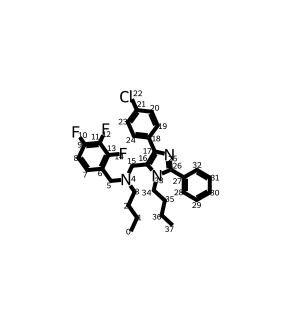 CCCCN(Cc1ccc(F)c(F)c1F)Cc1c(-c2ccc(Cl)cc2)nc(-c2ccccc2)n1CCCC